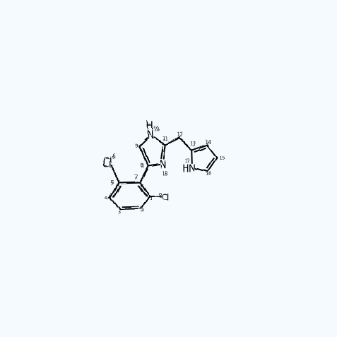 Clc1cccc(Cl)c1-c1c[nH]c(Cc2ccc[nH]2)n1